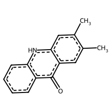 Cc1cc2[nH]c3ccccc3c(=O)c2cc1C